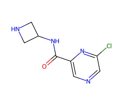 O=C(NC1CNC1)c1cncc(Cl)n1